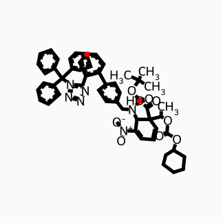 CC(OC(=O)OC1CCCCC1)C1(C(=O)O)C=CC=C([N+](=O)[O-])C1N(Cc1ccc(-c2ccccc2-c2nnnn2C(c2ccccc2)(c2ccccc2)c2ccccc2)cc1)C(=O)OC(C)(C)C